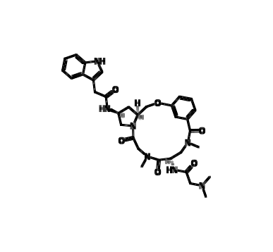 CN(C)CC(=O)N[C@H]1CN(C)C(=O)c2cccc(c2)OC[C@@H]2C[C@H](NC(=O)Cc3c[nH]c4ccccc34)CN2C(=O)CN(C)C1=O